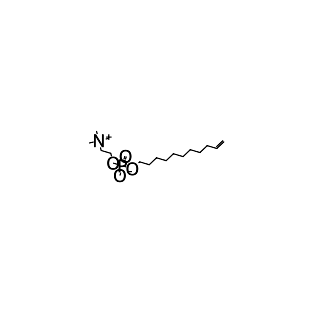 C=CCCCCCCCCCOP(=O)([O-])OCC[N+](C)(C)C